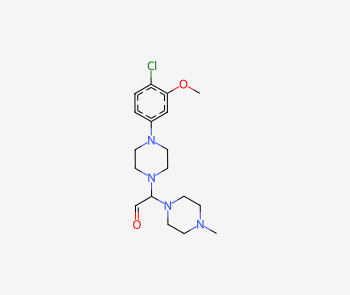 COc1cc(N2CCN(C(C=O)N3CCN(C)CC3)CC2)ccc1Cl